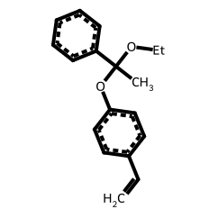 C=Cc1ccc(OC(C)(OCC)c2ccccc2)cc1